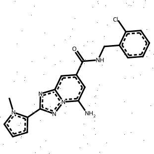 Cn1cccc1-c1nc2cc(C(=O)NCc3ccccc3Cl)cc(N)n2n1